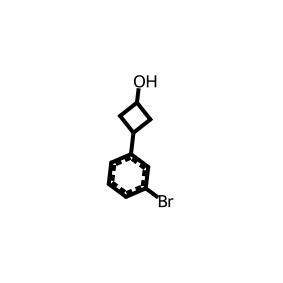 OC1CC(c2cccc(Br)c2)C1